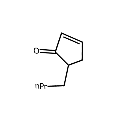 CCCCC1CC=CC1=O